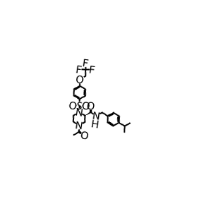 CC(=O)N1CCN(S(=O)(=O)c2ccc(OCC(F)(F)F)cc2)[C@@H](C(=O)NCc2ccc(C(C)C)cc2)C1